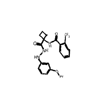 CC(C)Oc1cccc(NNC(=O)C2(NC(=O)c3ccccc3C(F)(F)F)CCC2)c1